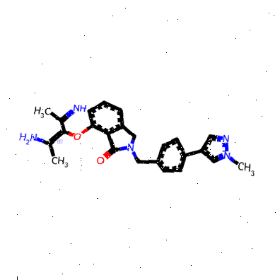 CC(=N)/C(Oc1cccc2c1C(=O)N(Cc1ccc(-c3cnn(C)c3)cc1)C2)=C(/C)N